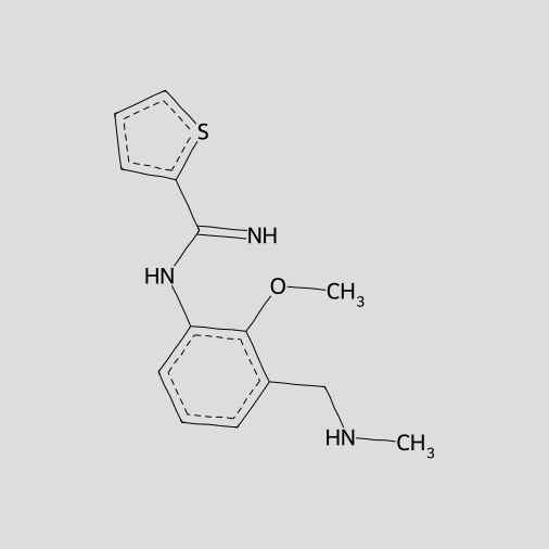 CNCc1cccc(NC(=N)c2cccs2)c1OC